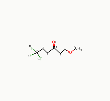 COCCC(=O)CCC(F)(F)F